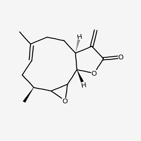 C=C1C(=O)O[C@@H]2C3OC3[C@@H](C)C/C=C(\C)CC[C@@H]12